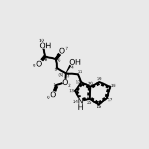 O=CO[C@](O)(CC(=O)C(=O)O)Cc1c[nH]c2ccccc12